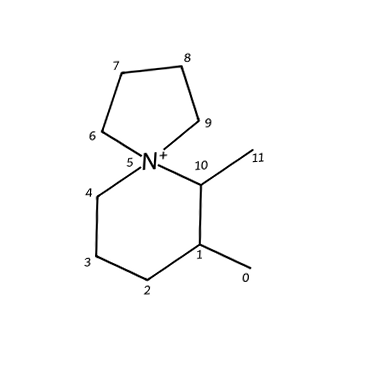 CC1CCC[N+]2(CCCC2)C1C